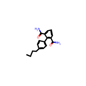 CCCCc1ccc(-c2c(C(N)=O)cccc2C(N)=O)cc1